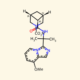 COc1cccn2c(C(C)(C)NC(=O)[C@@H]3[C@@H]4C[C@H]3CN(C(=O)O)C4)ncc12